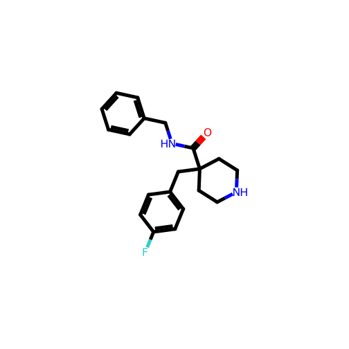 O=C(NCc1ccccc1)C1(Cc2ccc(F)cc2)CCNCC1